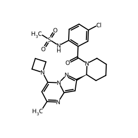 Cc1cc(N2CCC2)n2nc([C@@H]3CCCCN3C(=O)c3cc(Cl)ccc3NS(C)(=O)=O)cc2n1